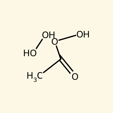 CC(=O)OO.OO